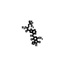 Cc1cc(Nc2ncnc3sc(C(=O)N(C)CCN(C)C)cc23)c(=O)n2c1C(=O)NC21CCC1